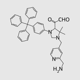 CC1(C)C(C(=O)C=O)N(c2ccc(C(c3ccccc3)(c3ccccc3)c3ccccc3)cc2)CN1Cc1ccnc(CN)c1